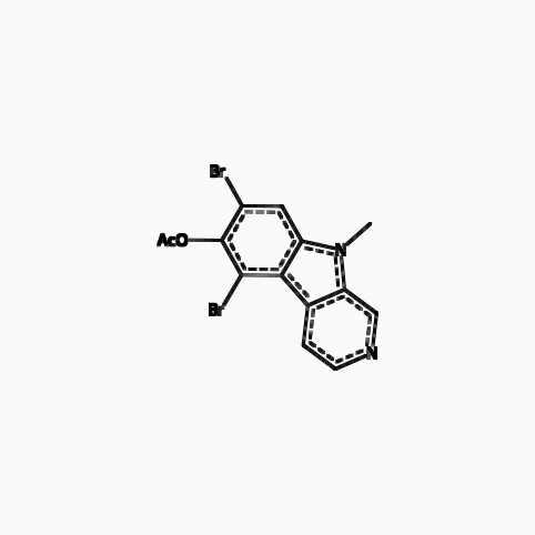 CC(=O)Oc1c(Br)cc2c(c1Br)c1ccncc1n2C